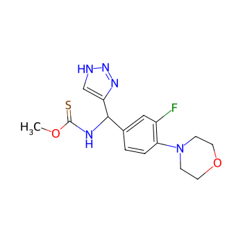 COC(=S)NC(c1ccc(N2CCOCC2)c(F)c1)c1c[nH]nn1